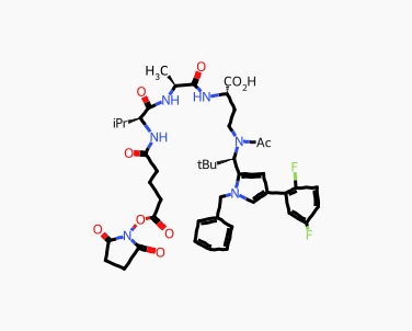 CC(=O)N(CC[C@H](NC(=O)[C@H](C)NC(=O)[C@@H](NC(=O)CCCC(=O)ON1C(=O)CCC1=O)C(C)C)C(=O)O)[C@@H](c1cc(-c2cc(F)ccc2F)cn1Cc1ccccc1)C(C)(C)C